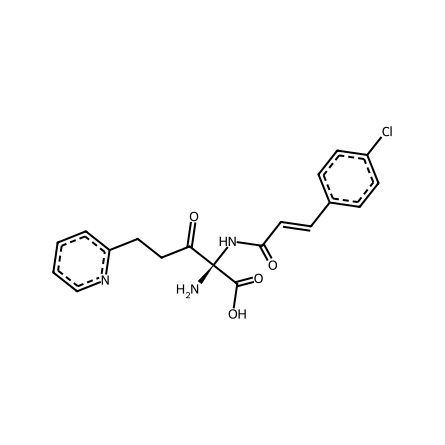 N[C@@](NC(=O)C=Cc1ccc(Cl)cc1)(C(=O)O)C(=O)CCc1ccccn1